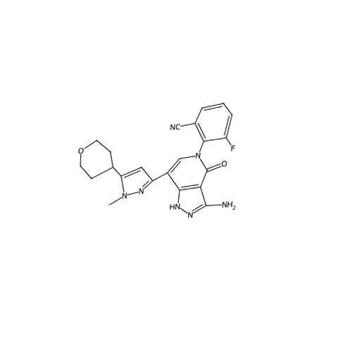 Cn1nc(-c2cn(-c3c(F)cccc3C#N)c(=O)c3c(N)n[nH]c23)cc1C1CCOCC1